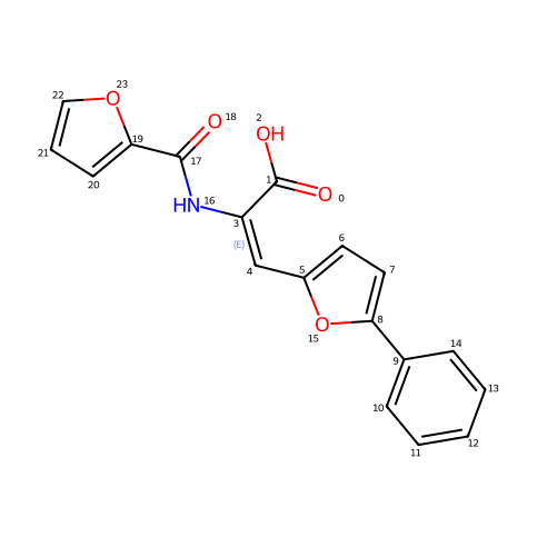 O=C(O)/C(=C\c1ccc(-c2ccccc2)o1)NC(=O)c1ccco1